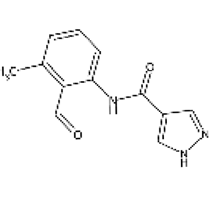 Cc1cccc(NC(=O)c2cn[nH]c2)c1C=O